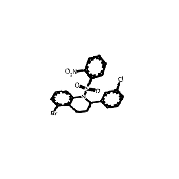 O=[N+]([O-])c1ccccc1S(=O)(=O)N1c2cccc(Br)c2CCC1c1cccc(Cl)c1